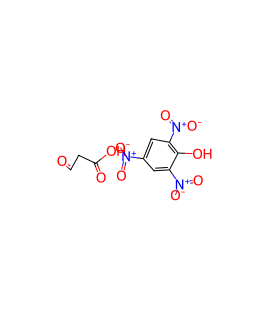 O=CCC(=O)O.O=[N+]([O-])c1cc([N+](=O)[O-])c(O)c([N+](=O)[O-])c1